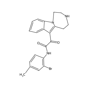 Cc1ccc(NC(=O)C(=O)c2c3n(c4ccccc24)CCNCC3)c(Br)c1